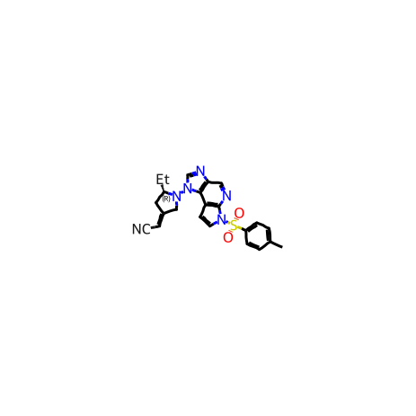 CC[C@@H]1CC(=CC#N)CN1n1cnc2cnc3c(ccn3S(=O)(=O)c3ccc(C)cc3)c21